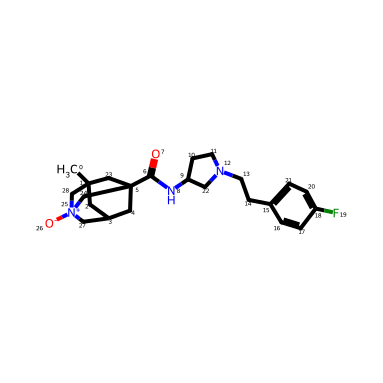 CC12CC3CC(C(=O)NC4CCN(CCc5ccc(F)cc5)C4)(C1)C[N+]([O-])(C3)C2